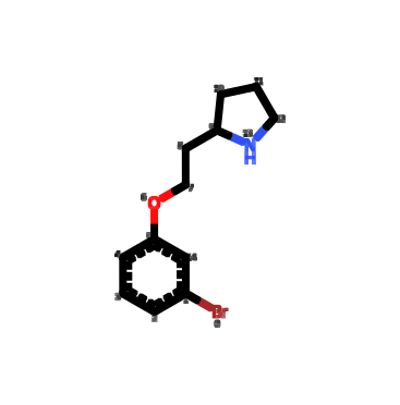 Brc1cccc(OCCC2CCCN2)c1